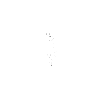 COc1cc(C2CC2(C)N2CC3=C(C2)C(C(=O)N2CCNCC2)=CCC3)ccc1O